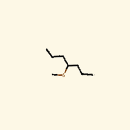 [CH2]CCC(CCC)SC